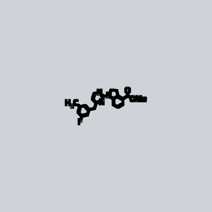 COC(=O)c1cccc2c1CCN2c1nccc(Cc2cc(C)cc(F)c2)n1